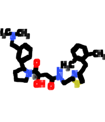 Cc1cccc(C)c1Cc1csc(CNC(=O)C[C@@H](O)C(=O)N2CCCC2c2cccc(CN(C)C)c2)n1